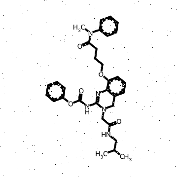 CC(C)CNC(=O)CN1Cc2cccc(OCCCC(=O)N(C)c3ccccc3)c2N=C1NC(=O)Oc1ccccc1